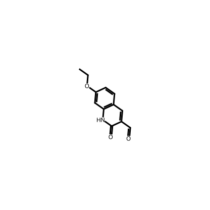 CCOc1ccc2cc(C=O)c(=O)[nH]c2c1